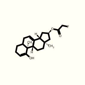 C[C@]12CC[C@H]3C(=CCC4CCC=C(O)[C@@]43C)[C@@H]1C[C@@H](OC(=O)CF)C2